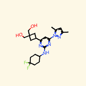 Cc1cc(C)n(-c2cc(C3CC(CO)(CO)C3)nc(NC3CCC(F)(F)CC3)n2)n1